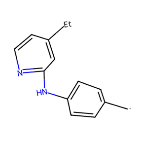 [CH2]c1ccc(Nc2cc(CC)ccn2)cc1